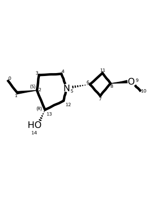 CC[C@H]1CCN([C@H]2C[C@H](OC)C2)C[C@@H]1O